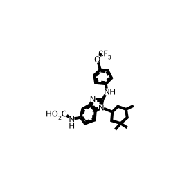 CC1CC(n2c(Nc3ccc(OC(F)(F)F)cc3)nc3cc(NC(=O)O)ccc32)CC(C)(C)C1